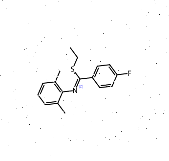 CCS/C(=N\c1c(C)cccc1C)c1ccc(F)cc1